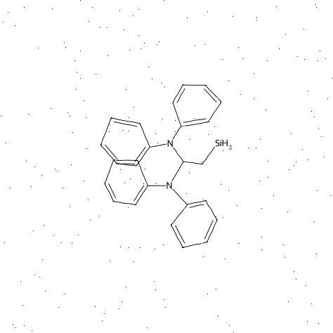 [SiH3]CC(N(c1ccccc1)c1ccccc1)N(c1ccccc1)c1ccccc1